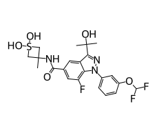 CC1(NC(=O)c2cc(F)c3c(c2)c(C(C)(C)O)nn3-c2cccc(OC(F)F)c2)CS(O)(O)C1